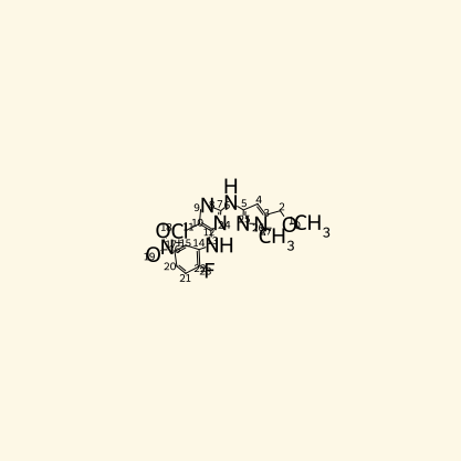 COCc1cc(Nc2ncc(Cl)c(Nc3cc([N+](=O)[O-])ccc3F)n2)nn1C